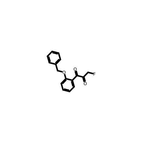 O=C(CF)C(=O)c1ccccc1OCc1ccccc1